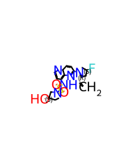 C=C[C@H]1C[C@H](F)CN1c1ccc2nccc(NS(=O)(=O)N3CC[C@H](O)C3)c2n1